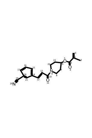 C=C(C)C(=O)OC1CCN(C(=O)/C=C/c2cccc(C#N)c2)CC1